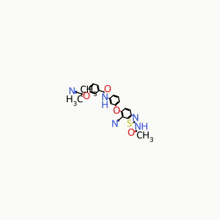 CC(=O)Nc1nc2ccc(Oc3cccc(NC(=O)c4cccc(OC(C)(C)C#N)c4)c3)c(C#N)c2s1